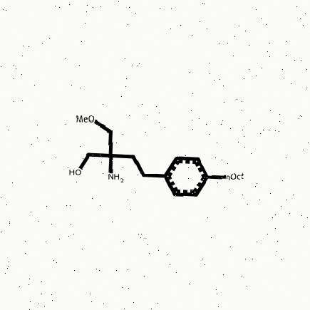 CCCCCCCCc1ccc(CCC(N)(CO)COC)cc1